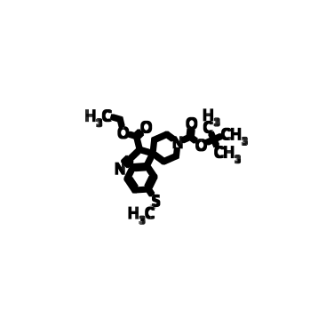 CCOC(=O)C(C#N)C1(c2cccc(SC)c2)CCN(C(=O)OC(C)(C)C)CC1